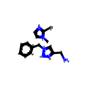 CCc1nccn1C.NCc1cn(Cc2ccccc2)nn1